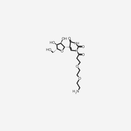 NCCOCCOCCC(=O)n1cc([C@@H]2O[C@H](CO)[C@@H](O)[C@H]2O)c(=O)[nH]c1=O